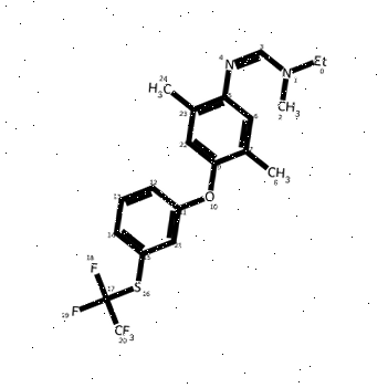 CCN(C)/C=N\c1cc(C)c(Oc2cccc(SC(F)(F)C(F)(F)F)c2)cc1C